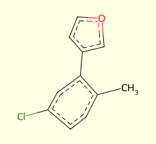 Cc1ccc(Cl)cc1-c1ccoc1